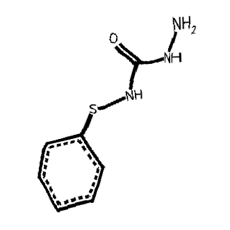 NNC(=O)NSc1ccccc1